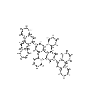 c1ccc(-c2nc(-c3cc4ccccc4c4ccccc34)nc(-c3ccccc3)c2-c2ccc(-c3nc4ccccc4c4nc5ccccn5c34)cc2)cc1